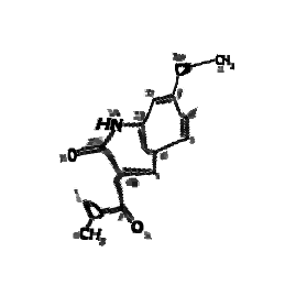 COC(=O)c1cc2ccc(OC)cc2[nH]c1=O